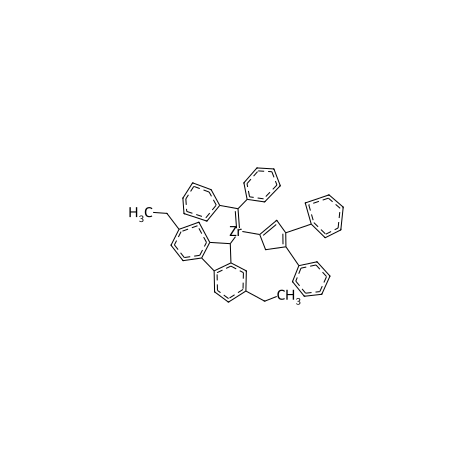 CCc1ccc2c(c1)[CH]([Zr]([C]1=CC(c3ccccc3)=C(c3ccccc3)C1)=[C](c1ccccc1)c1ccccc1)c1cc(CC)ccc1-2